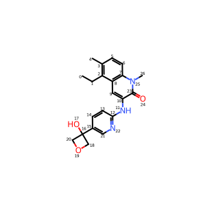 CCc1c(C)ccc2c1cc(Nc1ccc(C3(O)COC3)cn1)c(=O)n2C